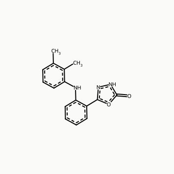 Cc1cccc(Nc2ccccc2-c2n[nH]c(=O)o2)c1C